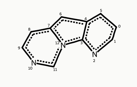 c1cnc2c(c1)cc1ccncn12